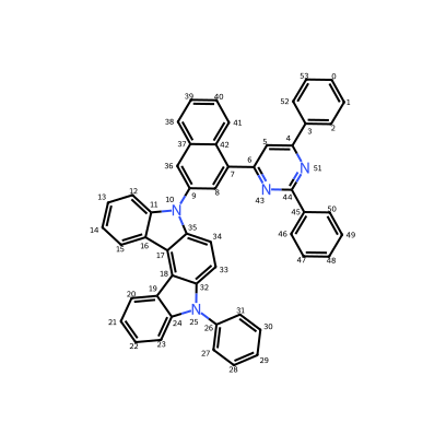 c1ccc(-c2cc(-c3cc(-n4c5ccccc5c5c6c7ccccc7n(-c7ccccc7)c6ccc54)cc4ccccc34)nc(-c3ccccc3)n2)cc1